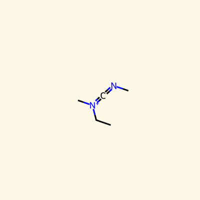 CC[N+](C)=C=NC